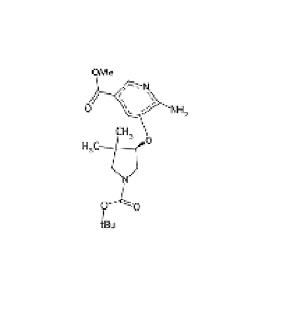 COC(=O)c1cnc(N)c(O[C@H]2CN(C(=O)OC(C)(C)C)CC2(C)C)c1